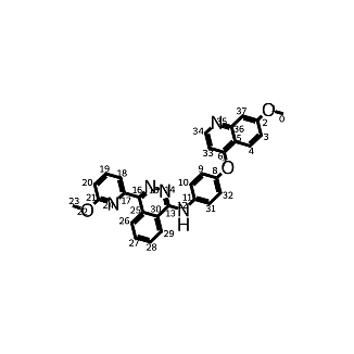 COc1ccc2c(Oc3ccc(Nc4nnc(-c5cccc(OC)n5)c5ccccc45)cc3)ccnc2c1